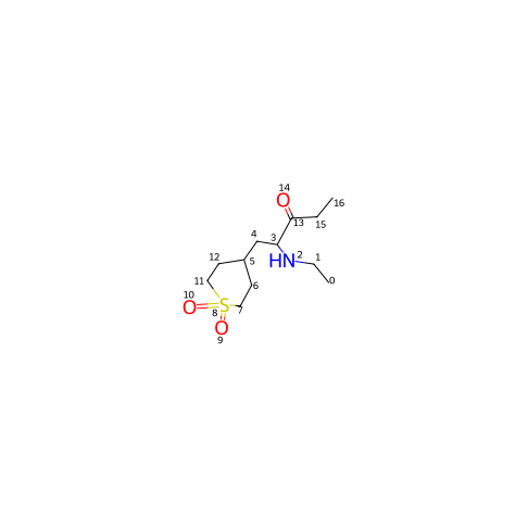 CCNC(CC1CCS(=O)(=O)CC1)C(=O)CC